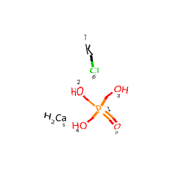 O=P(O)(O)O.[CaH2].[Cl][K]